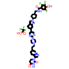 O=C(O)C(F)(F)F.O=C1CCN(c2cnn3cc(CCN4CCN(c5ncc(-c6ccc7cn(C8CCC(CNC(=O)c9cc(F)c(O)c(F)c9F)CC8)nc7c6)cn5)CC4)ccc23)C(=O)N1